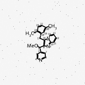 COC(c1ccncc1)c1nc2ccccn2c1Cc1cc(C)ccc1C